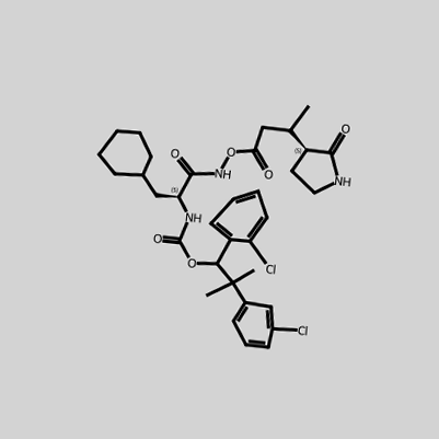 CC(CC(=O)ONC(=O)[C@H](CC1CCCCC1)NC(=O)OC(c1ccccc1Cl)C(C)(C)c1cccc(Cl)c1)[C@@H]1CCNC1=O